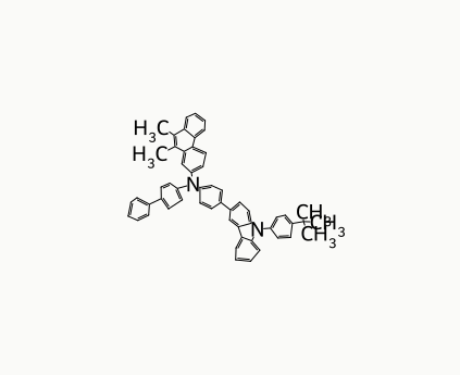 Cc1c(C)c2cc(N(c3ccc(-c4ccccc4)cc3)c3ccc(-c4ccc5c(c4)c4ccccc4n5-c4ccc(C(C)(C)C)cc4)cc3)ccc2c2ccccc12